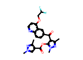 Cc1nn(C)cc1C(=O)Oc1c(C(=O)c2ccc3nccc(OCC(F)F)c3c2)c(C)nn1C